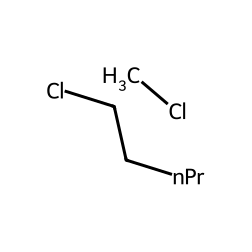 CCCCCCl.CCl